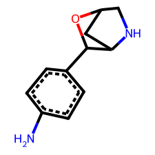 Nc1ccc(C2OC3CNC2C3)cc1